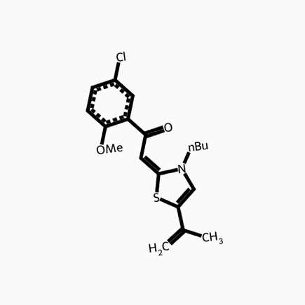 C=C(C)C1=CN(CCCC)C(=CC(=O)c2cc(Cl)ccc2OC)S1